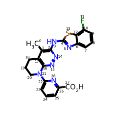 Cc1c(Nc2nc3cccc(F)c3s2)nnc2c1CCCN2c1cccc(C(=O)O)n1